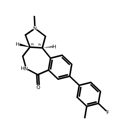 Cc1cc(-c2ccc3c(c2)C(=O)NC[C@@H]2CN(C)C[C@@H]32)ccc1F